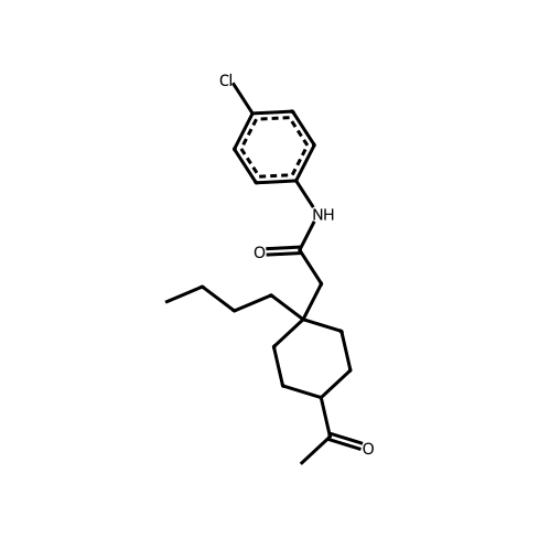 CCCCC1(CC(=O)Nc2ccc(Cl)cc2)CCC(C(C)=O)CC1